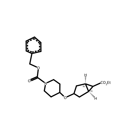 CCOC(=O)C1[C@H]2CC(OC3CCN(C(=O)OCc4ccccc4)CC3)C[C@@H]12